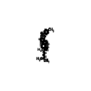 Cc1ccc(S(=O)(=O)O[C@H]2CC[C@@]3(C)C(=CC[C@H]4[C@@H]5CC[C@H](CCCCC(C)C)[C@@]5(C)CC[C@@H]43)C2)cc1